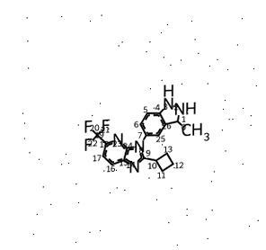 CC1NNc2ccc(-n3c(C4CCC4)nc4ccc(C(F)(F)F)nc43)cc21